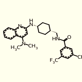 CN(C)c1cc(N[C@H]2CC[C@@H](CNC(=O)c3cc(C(F)(F)F)cc(C(F)(F)F)c3)CC2)nc2ccccc12